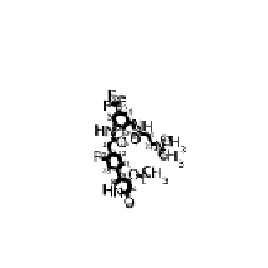 CCOc1cc(=O)[nH]cc1-c1ccc(CC(=O)Nc2cc(NC(=O)CCN(C)C)cc(C(F)(F)F)c2)c(F)c1